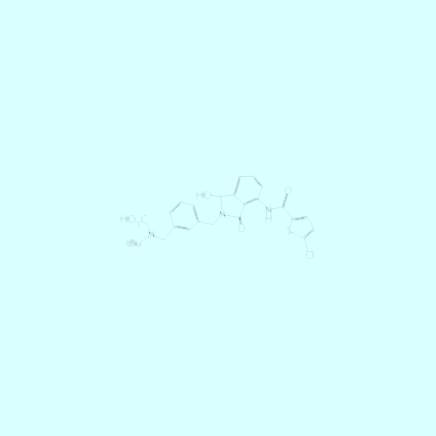 CC(C)(C)N(Cc1cccc(CN2C(=O)c3c(NC(=O)c4ccc(Cl)s4)cccc3C2O)c1)C(=O)O